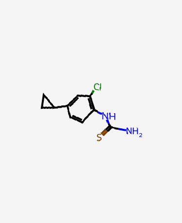 NC(=S)Nc1ccc(C2CC2)cc1Cl